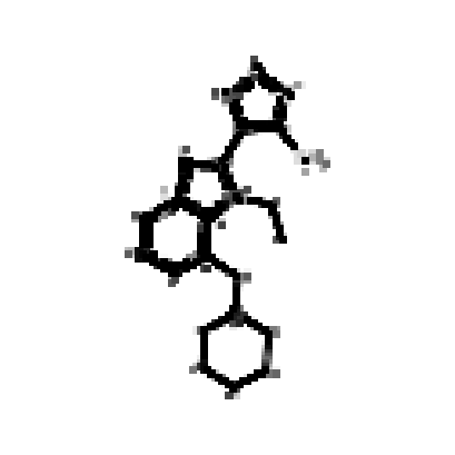 CCn1c(-c2nonc2N)nc2cncc(CN3CCCCC3)c21